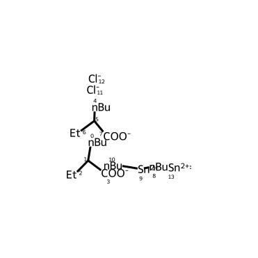 CCCCC(CC)C(=O)[O-].CCCCC(CC)C(=O)[O-].CCC[CH2][Sn+2][CH2]CCC.[Cl-].[Cl-].[Sn+2]